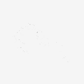 NC(=O)Nc1cccc(Nc2nnc(C(=O)Nc3ccc(C4CCC(CC(=O)O)CC4)cc3)o2)c1